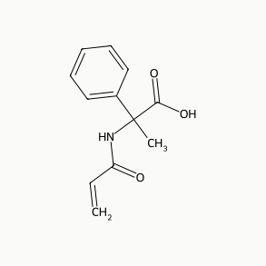 C=CC(=O)NC(C)(C(=O)O)c1ccccc1